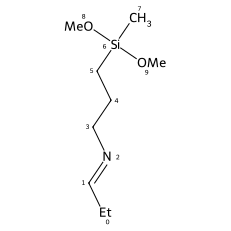 CCC=NCCC[Si](C)(OC)OC